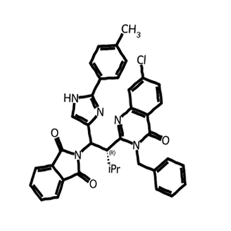 Cc1ccc(-c2nc(C([C@H](c3nc4cc(Cl)ccc4c(=O)n3Cc3ccccc3)C(C)C)N3C(=O)c4ccccc4C3=O)c[nH]2)cc1